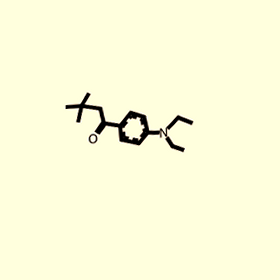 CCN(CC)c1ccc(C(=O)CC(C)(C)C)cc1